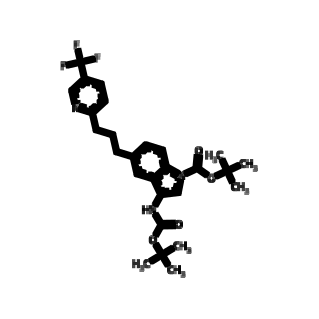 CC(C)(C)OC(=O)Nc1cn(C(=O)OC(C)(C)C)c2ccc(CCCc3ccc(C(F)(F)F)cn3)cc12